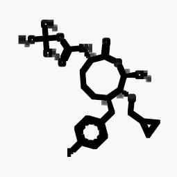 C[C@@H]1OC(=O)[C@@H](NC(=O)OC(C)(C)C)CCC[C@H](Cc2ccc(F)cc2)[C@H]1OCC1CC1